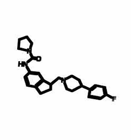 O=C(Nc1ccc2c(c1)C(CN1CCC(c3ccc(F)cc3)CC1)CC2)N1CCCC1